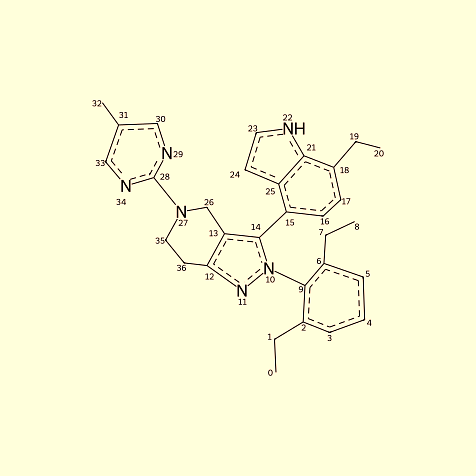 CCc1cccc(CC)c1-n1nc2c(c1-c1ccc(CC)c3[nH]ccc13)CN(c1ncc(C)cn1)CC2